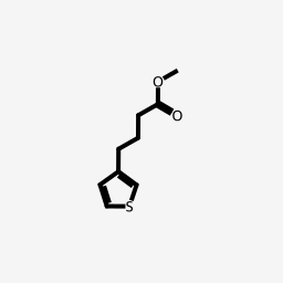 COC(=O)CCCc1ccsc1